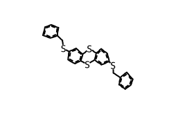 c1ccc(CSc2ccc3c(c2)Sc2ccc(SCc4ccccc4)cc2S3)cc1